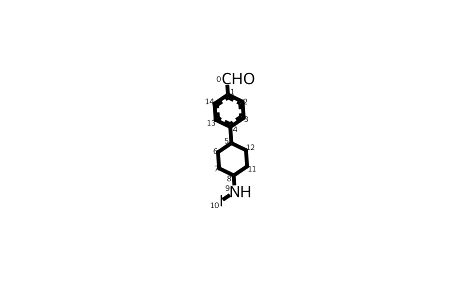 O=Cc1ccc(C2CCC(NI)CC2)cc1